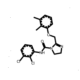 Cc1cccc(OCC2=NCCN2C(=O)Nc2cccc(Cl)c2Cl)c1C